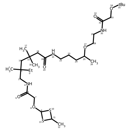 CCC(C)(CNC(=O)COC1SC(C)S1)CC(C)(C)CC(=O)NCCCC(C)OCCNC(=O)COC(C)(C)C